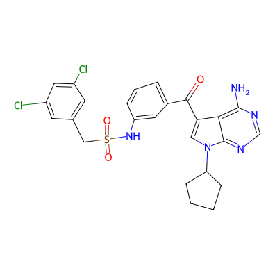 Nc1ncnc2c1c(C(=O)c1cccc(NS(=O)(=O)Cc3cc(Cl)cc(Cl)c3)c1)cn2C1CCCC1